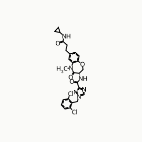 CN1C(=O)[C@@H](NC(=O)c2ncn(Cc3c(Cl)cccc3Cl)n2)COc2ccc(CCC(=O)NC3CC3)cc21